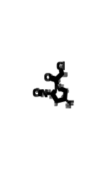 [C-]#[N+][C@@H]1C[C@@H](F)CN1C(=O)CCl